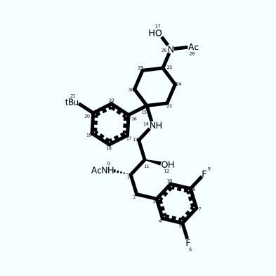 CC(=O)N[C@@H](Cc1cc(F)cc(F)c1)[C@H](O)CNC1(c2cccc(C(C)(C)C)c2)CCC(N(O)C(C)=O)CC1